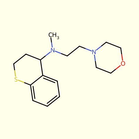 CN(CCN1CCOCC1)C1CCSc2ccccc21